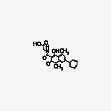 Cc1cc(-c2ccccc2)cc2c1C(O)=C(C(=O)NCC(=O)O)C(=O)C2C